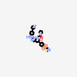 CN1CCC(c2ccc(Nc3ncc4cc(-c5ccc(S(=O)(=O)c6cncs6)cc5)c(=O)n(CC(=O)N5CCCC5)c4n3)cc2)C1